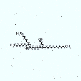 CCCCCCCCCCCCCCN(CCCCO)CCCCCCCC(O)OC(CCCCCCCC)CCCCCCCC